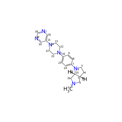 CN1C[C@H]2CCN(c3ccc(N4CCN(c5cncnc5)CC4)cc3)[C@H]2C1